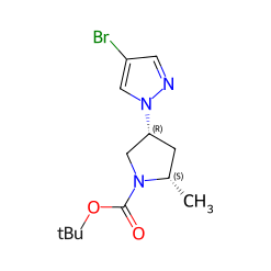 C[C@H]1C[C@@H](n2cc(Br)cn2)CN1C(=O)OC(C)(C)C